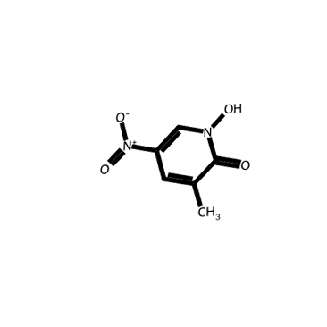 Cc1cc([N+](=O)[O-])cn(O)c1=O